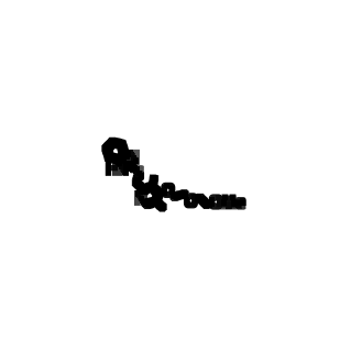 COCCOCCOc1c(C)cnc(CSc2nc3ccccc3[nH]2)c1C